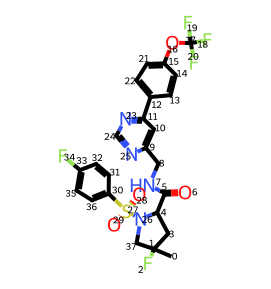 CC1(F)CC(C(=O)NCc2cc(-c3ccc(OC(F)(F)F)cc3)ncn2)N(S(=O)(=O)c2ccc(F)cc2)C1